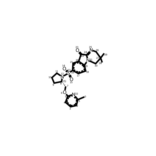 Cc1cccc(OC[C@@H]2CCCN2S(=O)(=O)c2ccc3c(c2)C(=O)C2=NCC(C)(C)CN23)n1